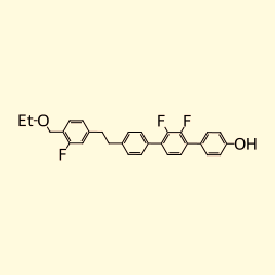 CCOCc1ccc(CCc2ccc(-c3ccc(-c4ccc(O)cc4)c(F)c3F)cc2)cc1F